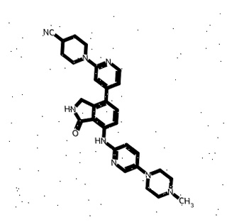 CN1CCN(c2ccc(Nc3ccc(-c4ccnc(N5CCC(C#N)CC5)c4)c4c3C(=O)NC4)nc2)CC1